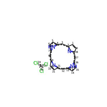 C1=Cc2cc3ccc(cc4nc(cc5ccc(cc1n2)[nH]5)C=C4)[nH]3.[Cl][Al]([Cl])[Cl]